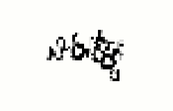 CC[C@@H]1C[C@H](N(Cc2cc(Cl)cc(C(F)(F)F)c2)c2nc(C)co2)CCN1C(=O)OC(C)C